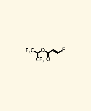 O=C(C=CF)OC(C(F)(F)F)C(F)(F)F